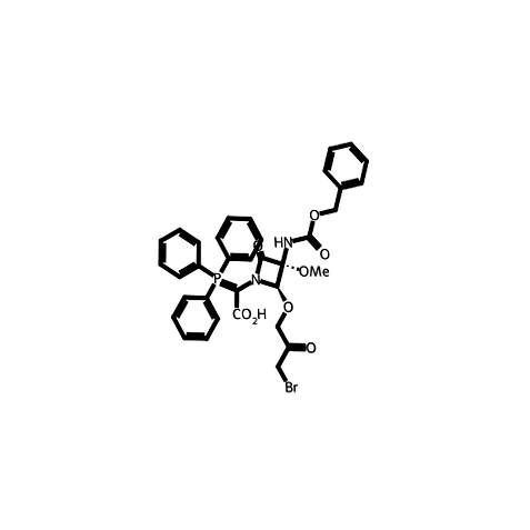 CO[C@@]1(NC(=O)OCc2ccccc2)C(=O)N(C(C(=O)O)=P(c2ccccc2)(c2ccccc2)c2ccccc2)[C@@H]1OCC(=O)CBr